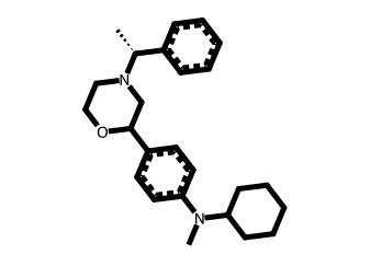 C[C@H](c1ccccc1)N1CCOC(c2ccc(N(C)C3CCCCC3)cc2)C1